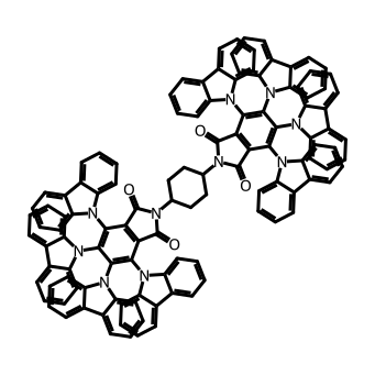 O=C1c2c(c(-n3c4ccccc4c4ccccc43)c(-n3c4ccccc4c4ccccc43)c(-n3c4ccccc4c4ccccc43)c2-n2c3ccccc3c3ccccc32)C(=O)N1C1CCC(N2C(=O)c3c(c(-n4c5ccccc5c5ccccc54)c(-n4c5ccccc5c5ccccc54)c(-n4c5ccccc5c5ccccc54)c3-n3c4ccccc4c4ccccc43)C2=O)CC1